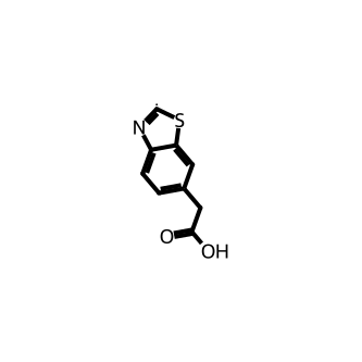 O=C(O)Cc1ccc2n[c]sc2c1